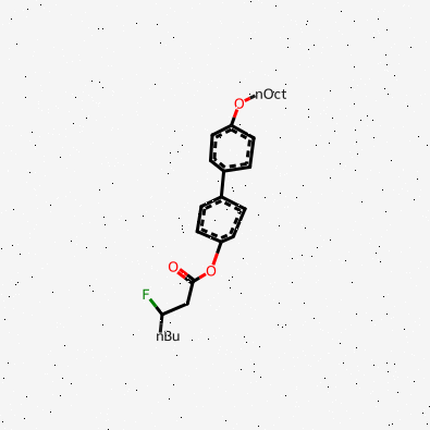 CCCCCCCCOc1ccc(-c2ccc(OC(=O)CC(F)CCCC)cc2)cc1